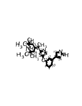 CN(c1nnc(Oc2cccc(-c3cn[nH]c3)c2)s1)C1CC(C)(C)NC(C)(C)C1